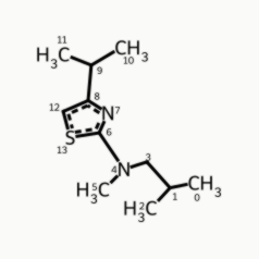 CC(C)CN(C)c1nc(C(C)C)cs1